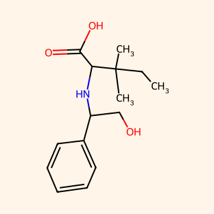 CCC(C)(C)C(NC(CO)c1ccccc1)C(=O)O